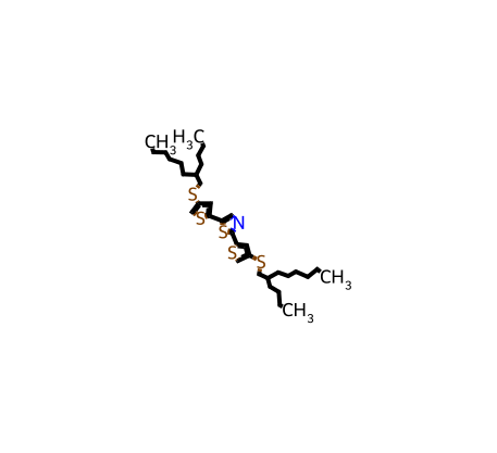 CCCCCCC(CCCC)CSc1csc(-c2cnc(-c3cc(SCC(CCCC)CCCCCC)cs3)s2)c1